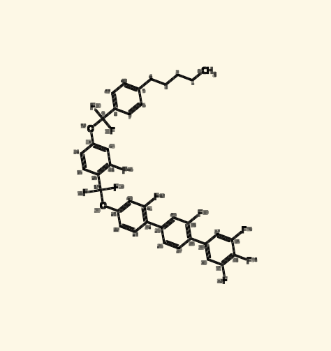 CCCCCc1ccc(C(F)(F)Oc2ccc(C(F)(F)Oc3ccc(-c4ccc(-c5cc(F)c(F)c(F)c5)c(F)c4)c(F)c3)c(F)c2)cc1